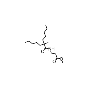 CCCCCC(C)(CCCCC)C(=O)NCCC(=O)OC